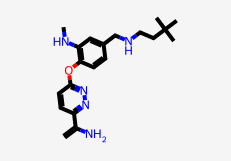 C=C(N)c1ccc(Oc2ccc(CNCCC(C)(C)C)cc2NC)nn1